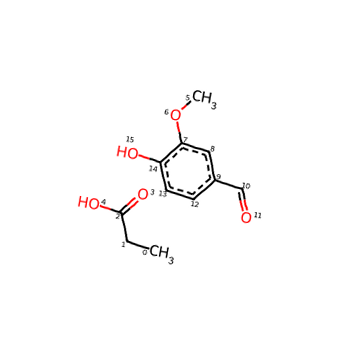 CCC(=O)O.COc1cc(C=O)ccc1O